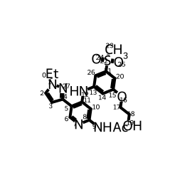 CCn1ccc(-c2cnc(NC(C)=O)cc2Nc2cc(OCCO)cc(S(C)(=O)=O)c2)n1